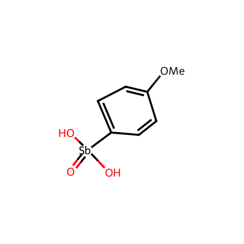 COc1cc[c]([Sb](=[O])([OH])[OH])cc1